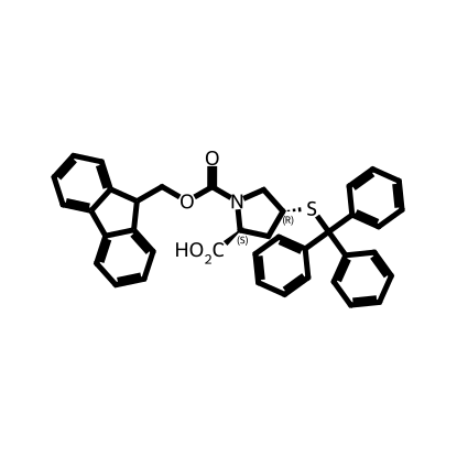 O=C(O)[C@@H]1C[C@@H](SC(c2ccccc2)(c2ccccc2)c2ccccc2)CN1C(=O)OCC1c2ccccc2-c2ccccc21